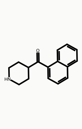 O=C(c1cccc2ccccc12)C1CCNCC1